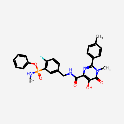 Cc1ccc(-c2nc(C(=O)NCc3ccc(F)c(P(=O)(NC(C)C)Oc4ccccc4)c3)c(O)c(=O)n2C)cc1